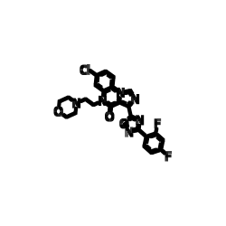 O=c1c2c(-c3nc(-c4ccc(F)cc4F)no3)ncn2c2ccc(Cl)cc2n1CCN1CCOCC1